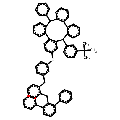 CC(C)(C)c1cccc(C2c3ccccc3-c3ccccc3C(c3ccccc3)c3ccccc3-c3ccc(Oc4cccc(Cc5ccccc5Cc5c(-c6ccccc6)cccc5-c5ccccc5)c4)cc32)c1